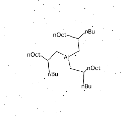 CCCCCCCCC(CCCC)[CH2][Al]([CH2]C(CCCC)CCCCCCCC)[CH2]C(CCCC)CCCCCCCC